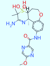 COc1cnc(C(=O)Nc2ccc3c(c2)[C@@]2(C)N=C(N)C(C)(C)S(O)(O)[C@@H]2CCO3)cn1